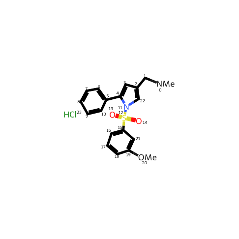 CNCc1cc(-c2ccccc2)n(S(=O)(=O)c2cccc(OC)c2)c1.Cl